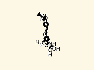 Cc1cc(OCCCC2CCN(c3nc(C4CC4)no3)CC2)ccc1C(=O)NC(CO)CO